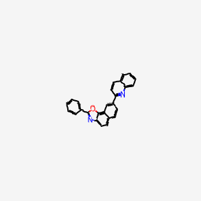 c1ccc(-c2nc3ccc4ccc(-c5ccc6ccccc6n5)cc4c3o2)cc1